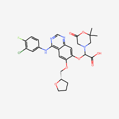 CC1(C)CN(C(Oc2cc3ncnc(Nc4ccc(F)c(Cl)c4)c3cc2OC[C@@H]2CCCO2)C(=O)O)CC(=O)O1